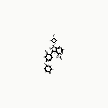 C[C@H]1C[C@@H](n2nc(-c3ccc(Oc4ccccc4)cc3F)c3c(N)ncnc32)C1